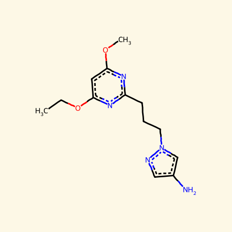 CCOc1cc(OC)nc(CCCn2cc(N)cn2)n1